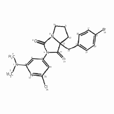 CN(C)c1cc(N2C(=O)N3CCCC3(Cc3ccc(Br)cc3)C2=O)cc(Cl)n1